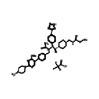 COc1nc(N2CCN(C)CC2)ncc1-c1ccc(C[C@@H](C(N)=O)N(c2ccc(-c3nn[nH]n3)cc2)C(=O)[C@H]2CC[C@H](CNC(=O)OC(C)(C)C)CC2)cc1.O=C(O)C(F)(F)F